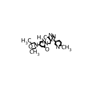 Cc1ccc(-n2nnc(C)c2Cn2ncc(N3CC(C)OC(C)C3)cc2=O)cn1